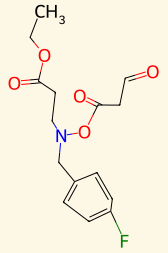 CCOC(=O)CCN(Cc1ccc(F)cc1)OC(=O)CC=O